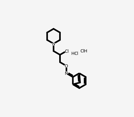 Cl.Cl.ClC(CON=C1C2=CC=CC1=C2)CN1CCCCC1